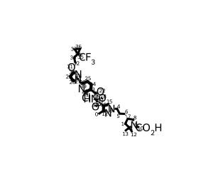 Cc1nn(CCC[C@@H]2CN(C(=O)O)C(C)(C)C2)cc1S(=O)(=O)NC(=O)c1ccc(-n2ccc(OCCC3(C(F)(F)F)CC3)n2)nc1Cl